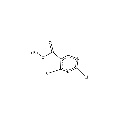 CCCCOC(=O)c1cnc(Cl)nc1Cl